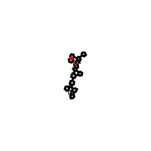 Fc1cc(-c2ccccc2)cc(-c2ccccc2)c1N(c1ccccc1)c1ccc2c(c1)sc1c3ccc(-c4ccc(N(c5ccccc5)c5cccc6c5oc5ccccc56)cc4)cc3c3ccccc3c21